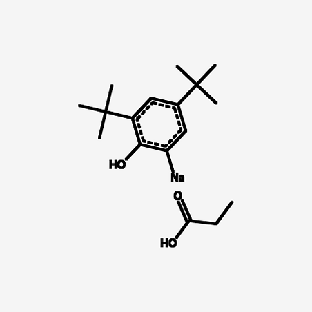 CC(C)(C)c1c[c]([Na])c(O)c(C(C)(C)C)c1.CCC(=O)O